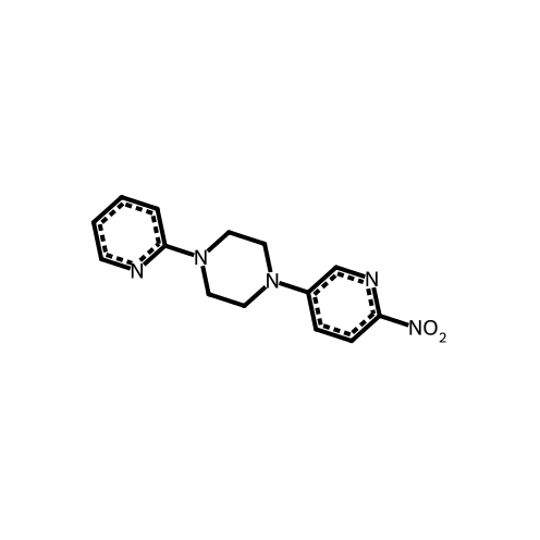 O=[N+]([O-])c1ccc(N2CCN(c3ccccn3)CC2)cn1